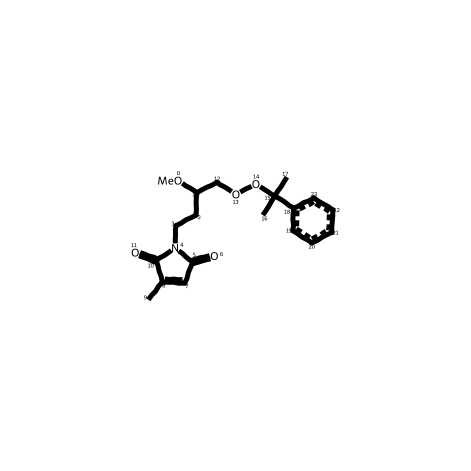 COC(CCN1C(=O)C=C(C)C1=O)COOC(C)(C)c1ccccc1